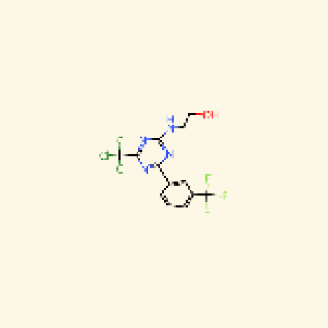 OCCNc1nc(-c2cccc(C(F)(F)F)c2)nc(C(Cl)(Cl)Cl)n1